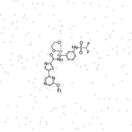 CCOc1cncc(-c2cnc(C(=O)N[C@H](c3cccc(NS(=O)(=O)C(F)F)c3)[C@H]3COCCO3)s2)n1